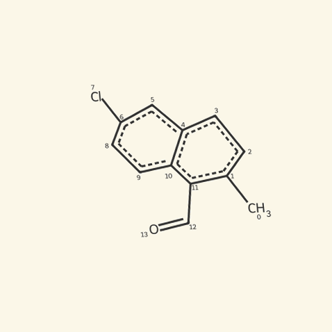 Cc1ccc2cc(Cl)ccc2c1C=O